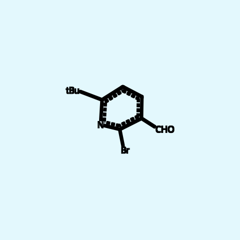 CC(C)(C)c1ccc(C=O)c(Br)n1